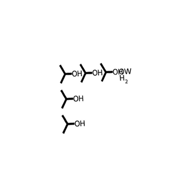 CC(C)O.CC(C)O.CC(C)O.CC(C)O.CC(C)O.O.[W]